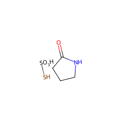 O=C1CCCN1.O=S(=O)(O)S